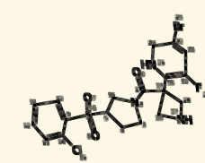 O=C(N1CCC(S(=O)(=O)c2ccccc2Cl)C1)C1(C2=C(F)C=C(Br)CN2)CNC1